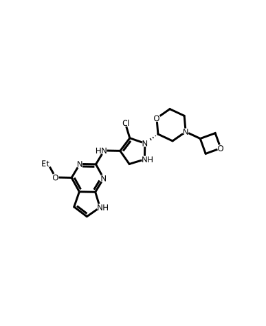 CCOc1nc(NC2=C(Cl)N([C@H]3CN(C4COC4)CCO3)NC2)nc2[nH]ccc12